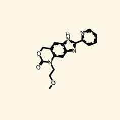 COCCN1C(=O)OCc2cc3[nH]c(-c4ccccn4)nc3cc21